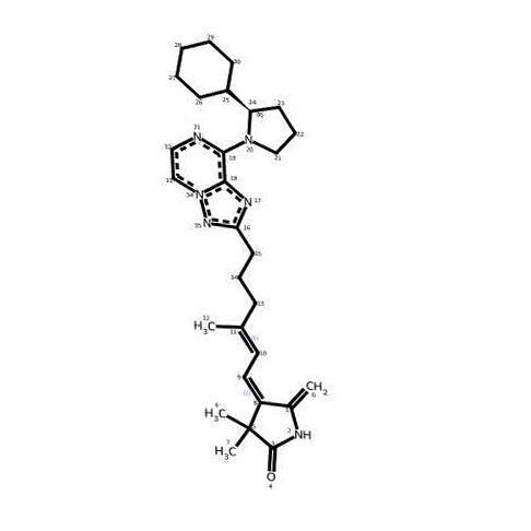 C=C1NC(=O)C(C)(C)/C1=C/C=C(\C)CCCc1nc2c(N3CCC[C@@H]3C3CCCCC3)nccn2n1